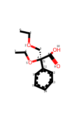 CCOC[C@](OCC)(C(=O)O)c1ccccc1